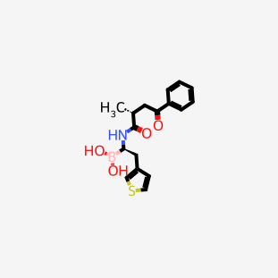 C[C@H](CC(=O)c1ccccc1)C(=O)N[C@@H](Cc1ccsc1)B(O)O